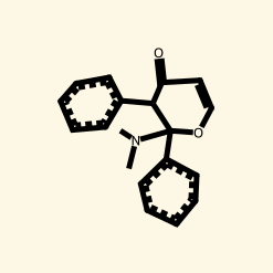 CN(C)C1(c2ccccc2)OC=CC(=O)C1c1ccccc1